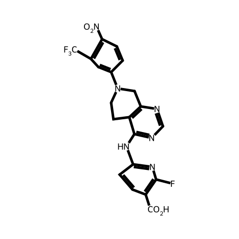 O=C(O)c1ccc(Nc2ncnc3c2CCN(c2ccc([N+](=O)[O-])c(C(F)(F)F)c2)C3)nc1F